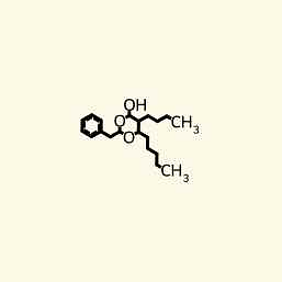 CCCCCC1OC(Cc2ccccc2)OC(O)C1CCCC